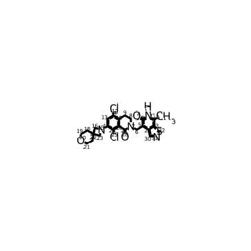 Cc1[nH]c(=O)c(CN2CCc3c(Cl)cc(N4CC5(CCOCC5)C4)c(Cl)c3C2=O)c2cnsc12